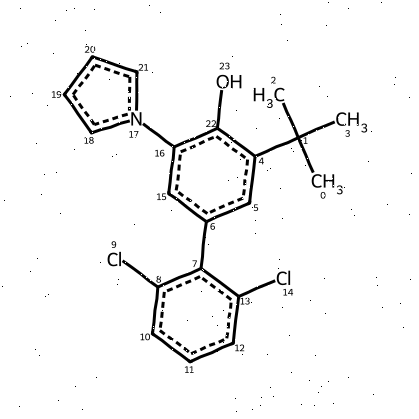 CC(C)(C)c1cc(-c2c(Cl)cccc2Cl)cc(-n2cccc2)c1O